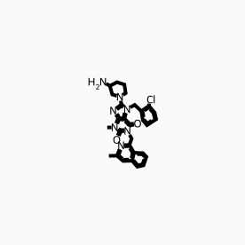 Cc1cc2ccccc2c(Cn2c(=O)c3c(nc(N4CCCC(N)C4)n3Cc3ccccc3Cl)n(C)c2=O)n1